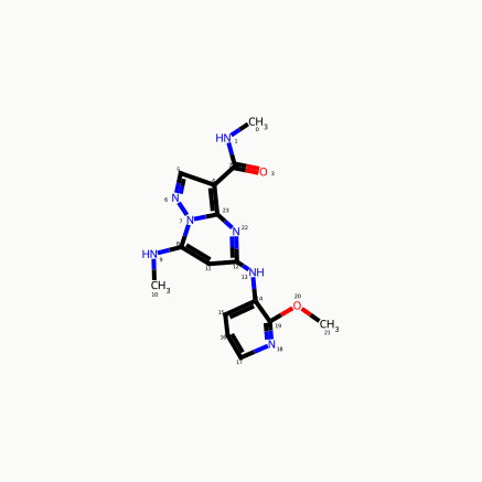 CNC(=O)c1cnn2c(NC)cc(Nc3cccnc3OC)nc12